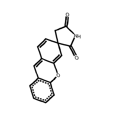 O=C1CC2(C=CC3=Cc4ccccc4OC3=C2)C(=O)N1